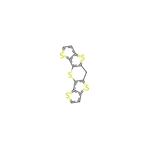 c1cc2sc3c(c2s1)Sc1c(sc2ccsc12)C3